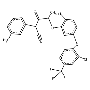 Cc1cccc(C(C#N)C(=O)C(C)Oc2cc(Oc3ccc(C(F)(F)F)cc3Cl)ccc2Cl)c1